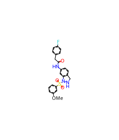 COc1cccc(S(=O)(=O)N2NCc3ccc(NC(=O)Cc4ccc(F)cc4)cc32)c1